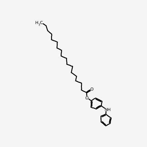 CCCCCCCCCCCCCCCCCC(=O)Oc1ccc(Nc2ccccc2)cc1